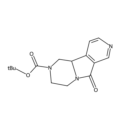 CC(C)(C)OC(=O)N1CCN2C(=O)c3cnccc3C2C1